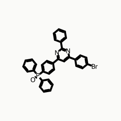 O=P(c1ccccc1)(c1ccccc1)c1ccc(-c2cc(-c3ccc(Br)cc3)nc(-c3ccccc3)n2)cc1